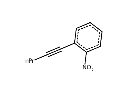 CCCC#Cc1ccccc1[N+](=O)[O-]